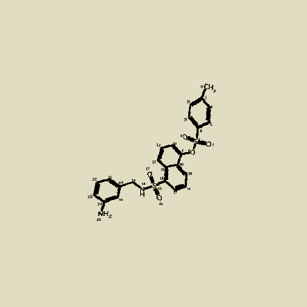 Cc1ccc(S(=O)(=O)Oc2cccc3c(S(=O)(=O)NCc4cccc(N)c4)cccc23)cc1